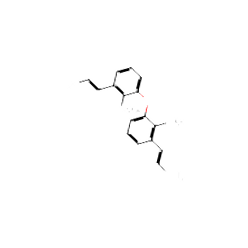 CC=Cc1cccc(Oc2cccc(C=CC)c2OC)c1OC